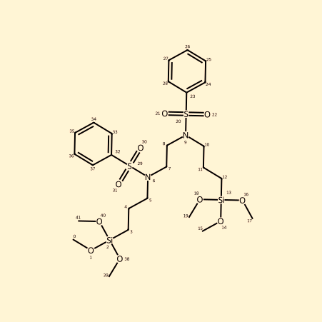 CO[Si](CCCN(CCN(CCC[Si](OC)(OC)OC)S(=O)(=O)c1ccccc1)S(=O)(=O)c1ccccc1)(OC)OC